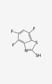 Fc1cc(F)c2sc(S)nc2c1F